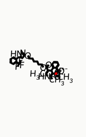 COC(=O)C1=C(C)NC(C)=C(C(=O)OCCCCCCOc2cc(-c3ccccc3C(F)(F)F)[nH]n2)C1c1ccccc1[N+](=O)[O-]